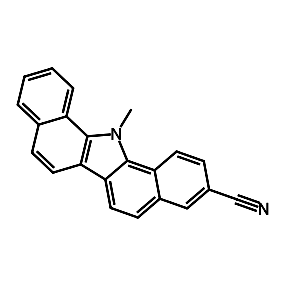 Cn1c2c3ccccc3ccc2c2ccc3cc(C#N)ccc3c21